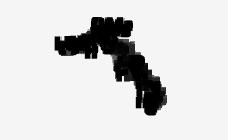 COc1nc(O[C@H]2CCc3c(-c4cccc(C(=O)Nc5ccc(CNC[C@@H]6CCC(=O)N6)cn5)c4C)cccc32)c(Cl)cc1CNC[C@@H]1CCC(=O)N1